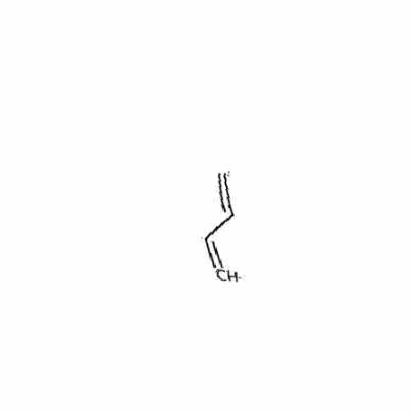 [C]=C[C]=[CH]